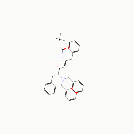 CC(C)(C)OC(=O)NC(=C[C@H](O)[C@H](Cc1ccccc1)N(Cc1ccccc1)Cc1ccccc1)Cc1ccccc1